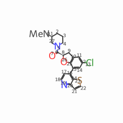 CN[C@H]1CCCN(C(=O)[C@H]2Cc3cc(Cl)cc(-c4ccnc5ccsc45)c3O2)C1